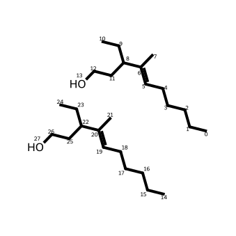 CCCCC/C=C(\C)C(CC)CCO.CCCCC/C=C(\C)C(CC)CCO